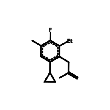 C=C(C)Cc1c(C2CC2)cc(C)c(F)c1CC